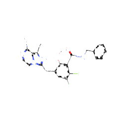 Cc1nc([C@@H](C)c2cc(Cl)c(F)c(C(=O)NCc3ccccc3)c2OC(C)C)n2ccnc(N)c12